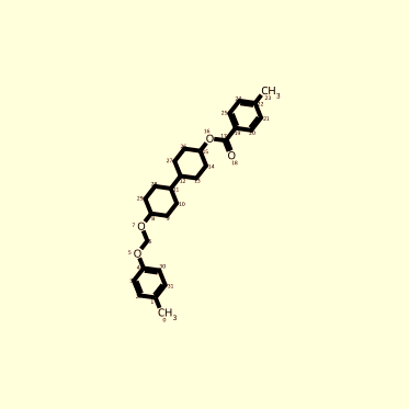 Cc1ccc(OCOC2CCC(C3CCC(OC(=O)c4ccc(C)cc4)CC3)CC2)cc1